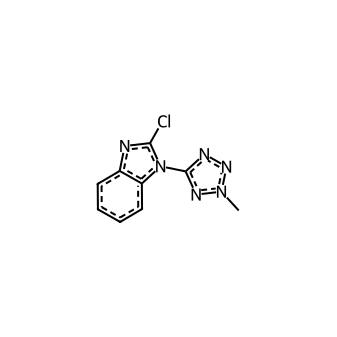 Cn1nnc(-n2c(Cl)nc3ccccc32)n1